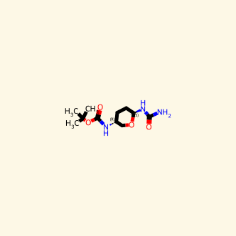 CC(C)(C)OC(=O)N[C@@H]1CC[C@@H](NC(N)=O)OC1